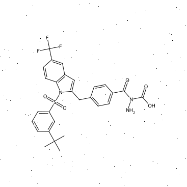 CC(C)(C)c1cccc(S(=O)(=O)n2c(Cc3ccc(C(=O)N(N)C(=O)O)cc3)cc3cc(C(F)(F)F)ccc32)c1